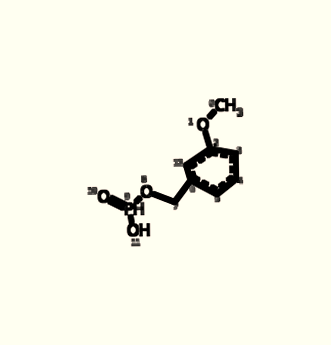 COc1cccc(CO[PH](=O)O)c1